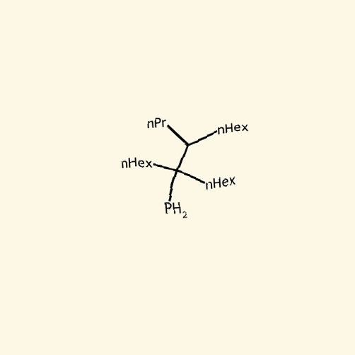 CCCCCCC(CCC)C(P)(CCCCCC)CCCCCC